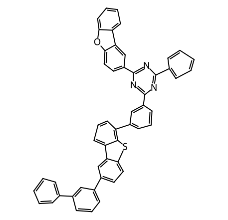 c1ccc(-c2cccc(-c3ccc4sc5c(-c6cccc(-c7nc(-c8ccccc8)nc(-c8ccc9oc%10ccccc%10c9c8)n7)c6)cccc5c4c3)c2)cc1